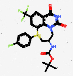 CC(C)(C)OC(=O)N[C@H]1Cn2c(=O)[nH]c(=O)c3cc(C(F)(F)F)cc(c32)[SH](c2ccc(F)cc2)C1